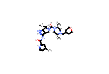 Cc1ccnc(C(=O)Nc2n[nH]c3c2CN(C(=O)N2C[C@@H](C)N(CC4CCOCC4)C[C@H]2C)C3(C)C)c1